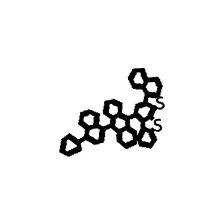 c1ccc(-c2ccc(-c3c4ccccc4c(-c4cc5c(sc6ccc7ccccc7c65)c5sc6ccccc6c45)c4ccccc34)c3ccccc23)cc1